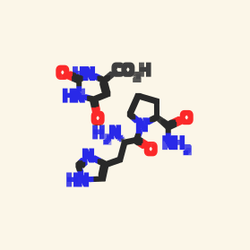 NC(=O)[C@@H]1CCCN1C(=O)[C@@H](N)Cc1c[nH]cn1.O=C(O)c1cc(=O)[nH]c(=O)[nH]1